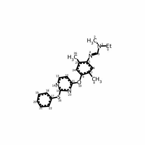 CCN(C)/C=N/c1cc(C)c(Oc2ccnc(Sc3ccccc3)n2)cc1C